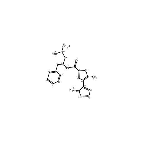 Cc1sc(C(=O)N[C@@H](Cc2ccccc2)CN(C(=O)O)C(C)(C)C)cc1-c1cnnn1C